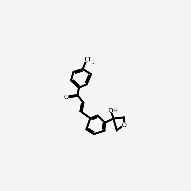 O=C(/C=C/c1cccc(C2(O)COC2)c1)c1ccc(C(F)(F)F)cc1